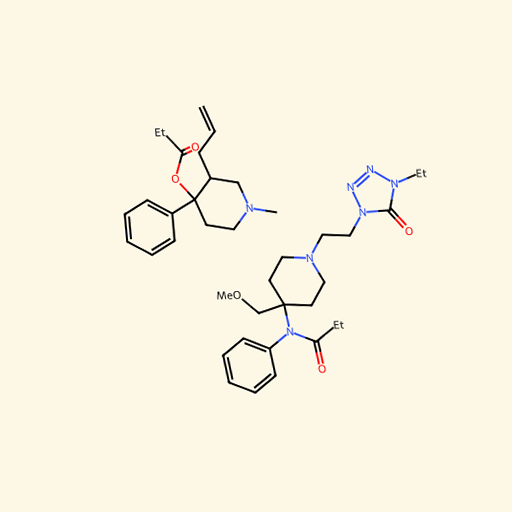 C=CCC1CN(C)CCC1(OC(=O)CC)c1ccccc1.CCC(=O)N(c1ccccc1)C1(COC)CCN(CCn2nnn(CC)c2=O)CC1